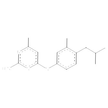 CC(C)Cc1ccc(Nc2cc(Cl)nc(N)n2)cc1F